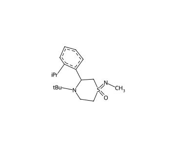 CN=S1(=O)CCN(C(C)(C)C)C(c2ccccc2C(C)C)C1